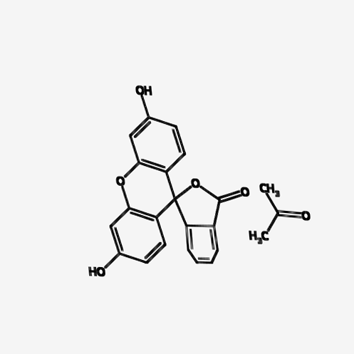 CC(C)=O.O=C1OC2(c3ccc(O)cc3Oc3cc(O)ccc32)c2ccccc21